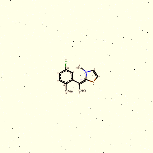 CCCCN1C=CS/C1=C(\C=O)c1cc(Cl)ccc1OC